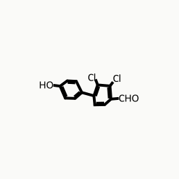 O=Cc1ccc(-c2ccc(O)cc2)c(Cl)c1Cl